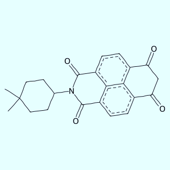 CC1(C)CCC(N2C(=O)c3ccc4c5c(ccc(c35)C2=O)C(=O)CC4=O)CC1